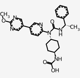 COc1ncc(-c2ccc(N(C(=O)N[C@@H](C)c3ccccc3)[C@H]3CC[C@H](NC(=O)O)CC3)nc2)cn1